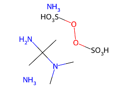 CN(C)C(C)(C)N.N.N.O=S(=O)(O)OOS(=O)(=O)O